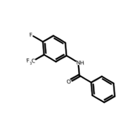 O=C(Nc1ccc(F)c(C(F)(F)F)c1)c1ccccc1